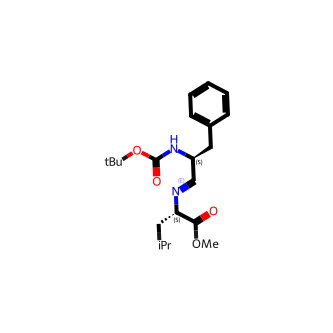 COC(=O)[C@H](CC(C)C)/N=C/[C@H](Cc1ccccc1)NC(=O)OC(C)(C)C